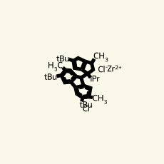 Cc1cc2c(cc1C(C)(C)C)-c1cc(C(C)(C)C)c(C)cc1C2C1(C(C)C)CC(C)C2=C1C=C(C(C)(C)C)C2.[Cl-].[Cl-].[Zr+2]